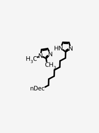 CCCCCCCCCCCCCCCCCc1ncc[nH]1.Cc1nccn1C